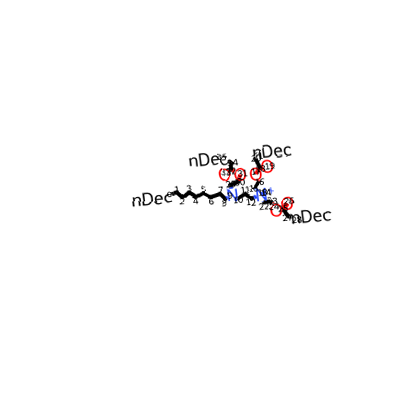 CCCCCCCCCCCCCCCCCCN(CCC[N+](C)(CCOC(=O)CCCCCCCCCCC)CCOC(=O)CCCCCCCCCCC)CCOC(=O)CCCCCCCCCCC